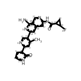 Cc1cc(-c2ccc[nH]c2=O)ncc1-c1cc2cc(NC(=O)C3CC3F)ncc2c(N)n1